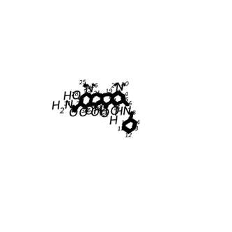 CN(C)c1cc(CNCc2ccccc2)c(O)c2c1CC1CC3C(N(C)C)C(O)=C(C(N)=O)C(=O)C3(O)C(O)=C1C2=O